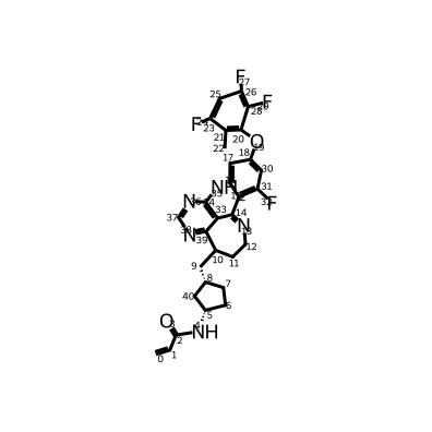 C=CC(=O)N[C@H]1CC[C@@H](CC2CCN=C(c3ccc(Oc4c(C)c(F)cc(F)c4F)cc3F)c3c(N)ncnc32)C1